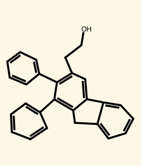 OCCc1cc2c(c(-c3ccccc3)c1-c1ccccc1)Cc1ccccc1-2